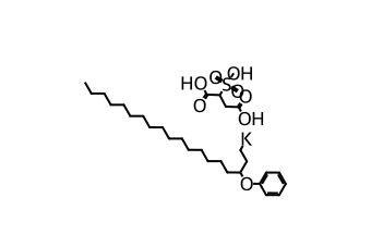 CCCCCCCCCCCCCCCCC(C[CH2][K])Oc1ccccc1.O=C(O)CC(C(=O)O)S(=O)(=O)O